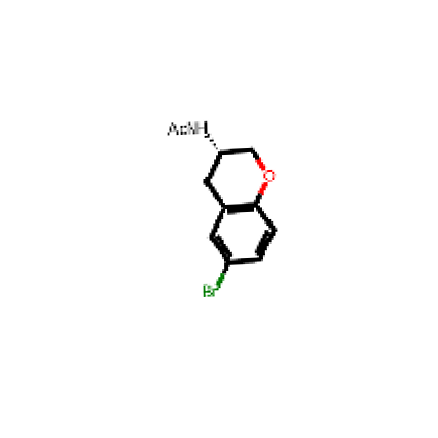 CC(=O)N[C@@H]1COc2ccc(Br)cc2C1